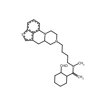 C=C(C1CCCCC1C=O)N(C)CCCCN1CCN2c3cccc4scc(c34)CC2C1